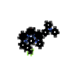 FC(F)(F)c1cccc(-c2cc(-n3c4ccccc4c4ccccc43)c(-n3c4ccccc4c4cc(-c5ccc6c(c5)c5ccccc5n6-c5ccccc5)ccc43)c(-n3c4ccccc4c4ccccc43)c2-n2c3ccccc3c3ccccc32)c1